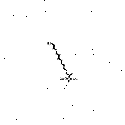 CO[Si](C)(OC)C(C)CCCCCCCCCCCCN